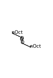 CCCCCCCC/C=C\CCCCCCCCC(C)OCCOOC(C)CCCCCCCC/C=C\CCCCCCCC